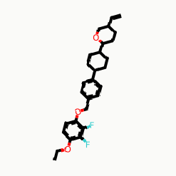 C=CC1CCC(C2CCC(c3ccc(COc4ccc(OCC)c(F)c4F)cc3)CC2)OC1